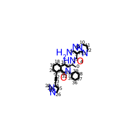 CC(NC(=O)c1c(N)nn2cccnc12)c1cc2cccc(C#Cc3ccnn3C)c2c(=O)n1-c1ccccc1